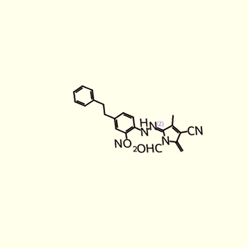 C=C1C(C#N)=C(C)/C(=N/Nc2ccc(CCc3ccccc3)cc2[N+](=O)[O-])N1C=O